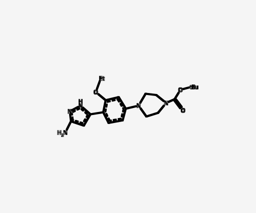 CCOc1cc(N2CCN(C(=O)OC(C)(C)C)CC2)ccc1-c1cc(N)n[nH]1